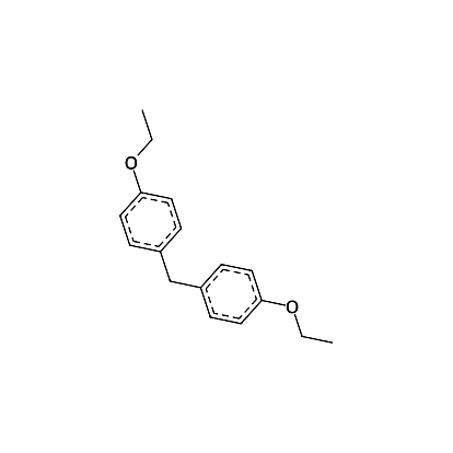 CCOc1ccc(Cc2ccc(OCC)cc2)cc1